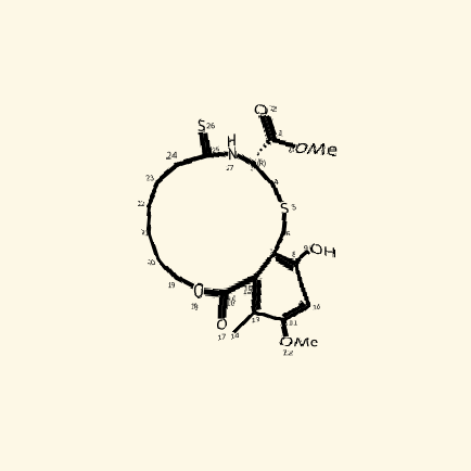 COC(=O)[C@@H]1CSCc2c(O)cc(OC)c(C)c2C(=O)OCCCCCCC(=S)N1